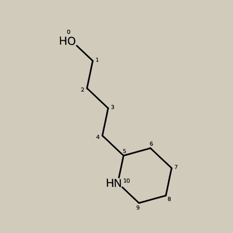 OCCCCC1CCCCN1